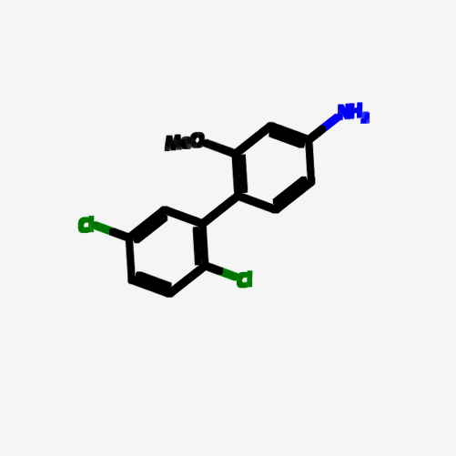 COc1cc(N)ccc1-c1cc(Cl)ccc1Cl